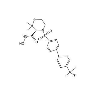 CC1(C)SCCN(S(=O)(=O)c2ccc(-c3ccc(C(F)(F)F)cc3)cc2)[C@H]1C(=O)NO